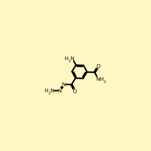 NN=NC(=O)c1cc(N)cc(C(N)=O)c1